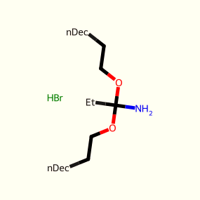 Br.CCCCCCCCCCCCOC(N)(CC)OCCCCCCCCCCCC